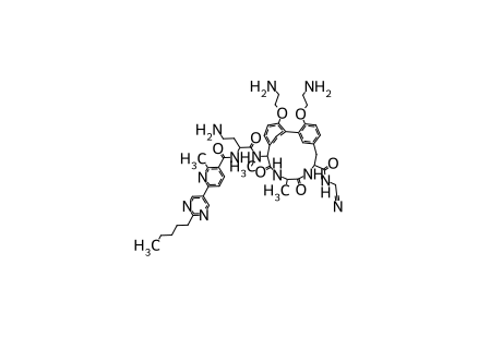 CCCCCc1ncc(-c2ccc(C(=O)NC(CCN)C(=O)N(C)C3C(=O)NC(C)C(=O)NC(C(=O)NCC#N)Cc4ccc(OCCN)c(c4)-c4cc3ccc4OCCN)c(C)n2)cn1